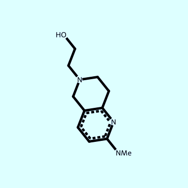 CNc1ccc2c(n1)CCN(CCO)C2